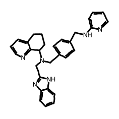 c1ccc(NCc2ccc(CN(Cc3nc4ccccc4[nH]3)C3CCCc4cccnc43)cc2)nc1